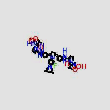 COC(=O)N[C@H](C(=O)N1CCC[C@H]1c1nc2ccc([C@H]3CC[C@H](c4ccc5nc([C@@H]6CCCN6C(=O)[C@H](C(C)C)N(C)C(=O)O)[nH]c5c4)N3c3ccc(N4CC(C)CC(C)C4)c(F)c3)cc2[nH]1)C(C)C